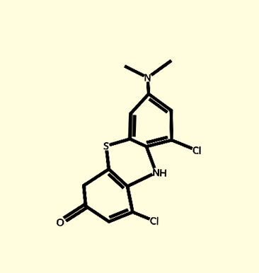 CN(C)c1cc(Cl)c2c(c1)SC1=C(N2)C(Cl)=CC(=O)C1